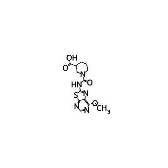 COc1ncnc2sc(NC(=O)N3CCCC(C(=O)O)C3)nc12